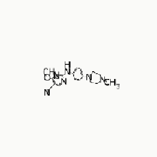 COc1nc(Nc2ccc(N3CCN(C)CC3)cc2)ncc1C#N